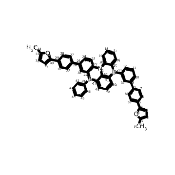 Cc1ccc(-c2ccc(-c3cccc(B4c5ccccc5N5c6ccc(-c7ccc(-c8ccc(C)o8)cc7)cc6B(c6ccccc6)c6cccc4c65)c3)cc2)o1